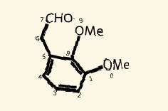 COc1cccc(C[C]=O)c1OC